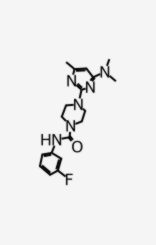 Cc1cc(N(C)C)nc(N2CCN(C(=O)Nc3cccc(F)c3)CC2)n1